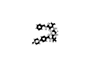 CC(C)[C@H](NC(=O)[C@H](C)NC(=O)[C@@H](NC(=O)c1ccc(N2CCN(C)CC2)cc1)C(C)(C)C)C(=O)C(=O)NCc1ccccc1